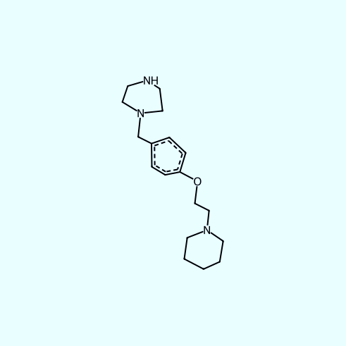 c1cc(OCCN2CCCCC2)ccc1CN1CCNCC1